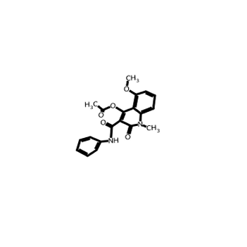 COc1cccc2c1c(OC(C)=O)c(C(=O)Nc1ccccc1)c(=O)n2C